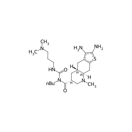 CCCCN(C(=O)NCCCN(C)C)C(=O)[C@@H]1C[C@@H]2Cc3c(sc(N)c3N)C[C@H]2N(C)C1